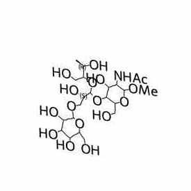 COC1OC(CO)C(OC(OC(CO)[C@@H](C)O)[C@@H](O)COC2OC(CO)C(O)C(O)C2O)C(O)C1NC(C)=O